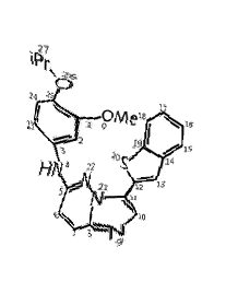 COc1cc(Nc2ccc3ncc(-c4cc5ccccc5s4)n3n2)ccc1OC(C)C